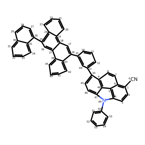 N#Cc1ccc2c3c1ccc1c(-c4cccc(-c5cc6c7ccccc7c(-c7cccc8ccccc78)cc6c6ccccc56)c4)ccc(c13)n2-c1ccccc1